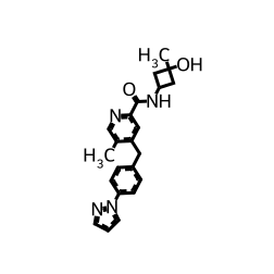 Cc1cnc(C(=O)NC2CC(C)(O)C2)cc1Cc1ccc(-n2cccn2)cc1